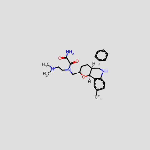 CN(C)CCN(C[C@H]1CC[C@@H]2[C@H](O1)c1cc(C(F)(F)F)ccc1N[C@H]2c1ccccc1)C(=O)C(N)=O